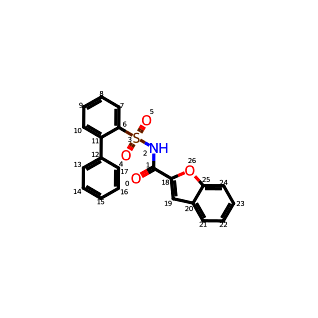 O=C(NS(=O)(=O)c1ccccc1-c1ccccc1)c1cc2ccccc2o1